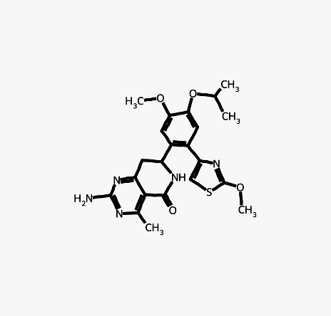 COc1nc(-c2cc(OC(C)C)c(OC)cc2C2Cc3nc(N)nc(C)c3C(=O)N2)cs1